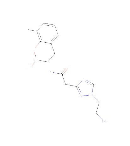 Cc1cccc2c1OB(O)[C@@H](NC(=O)Cc1ncn(CCN)n1)C2